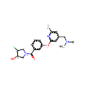 CC(C)(C)N(Cc1cc(Oc2cccc(C(=O)N3CC(O)C(F)C3)c2)nc(C(F)(F)F)c1)C(=O)O